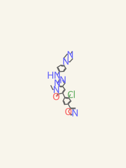 CCn1c(=O)c(-c2ccc(-c3cnco3)cc2Cl)cc2cnc(Nc3ccc(N4CCN(C)CC4)cc3)nc21